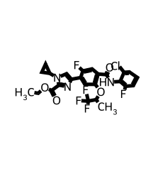 CCOC(=O)c1nc(-c2cc(OC(C)C(F)(F)F)c(C(=O)Nc3c(F)cccc3Cl)cc2F)cn1C1CC1